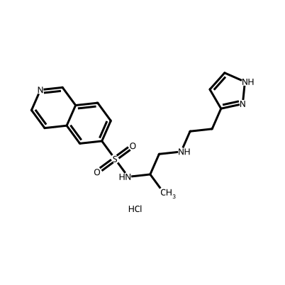 CC(CNCCc1cc[nH]n1)NS(=O)(=O)c1ccc2cnccc2c1.Cl